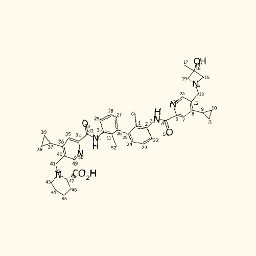 Cc1c(NC(=O)c2cc(C3CC3)c(CN3CC(C)(O)C3)cn2)cccc1-c1cccc(NC(=O)c2cc(C3CC3)c(CN3CCCC[C@H]3C(=O)O)cn2)c1C